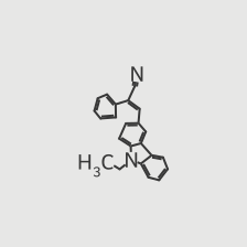 CCn1c2ccccc2c2cc(/C=C(/C#N)c3ccccc3)ccc21